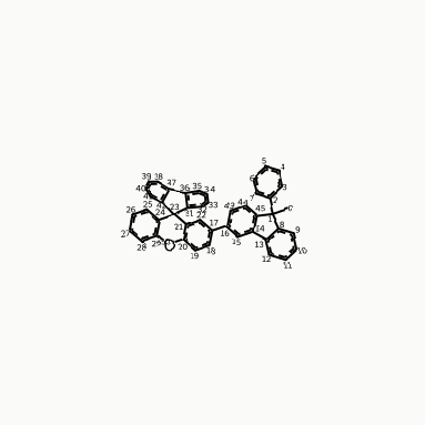 CC1(c2ccccc2)c2ccccc2-c2cc(-c3ccc4c(c3)C3(c5ccccc5O4)c4ccccc4-c4ccccc43)ccc21